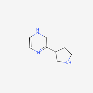 C1=CNCC(C2CCNC2)=N1